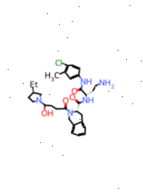 CC[C@@H]1CCN(C(O)CCC(=O)N2Cc3ccccc3C[C@H]2C(=O)N[C@@H](CCN)C(=O)Nc2ccc(Cl)c(C)c2)C1